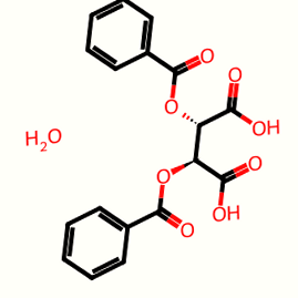 O.O=C(O[C@H](C(=O)O)[C@H](OC(=O)c1ccccc1)C(=O)O)c1ccccc1